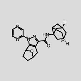 O=C(NC12C[C@@H]3CC1C[C@@H](C3)C2)c1nn(-c2cnccn2)c2c1CC1CCC2O1